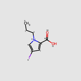 CCCn1cc(I)cc1C(=O)O